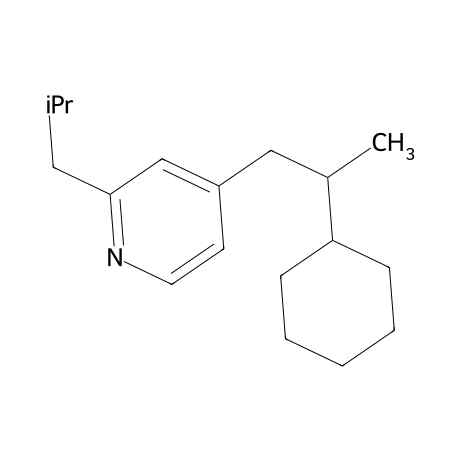 CC(C)Cc1cc(CC(C)C2CCCCC2)ccn1